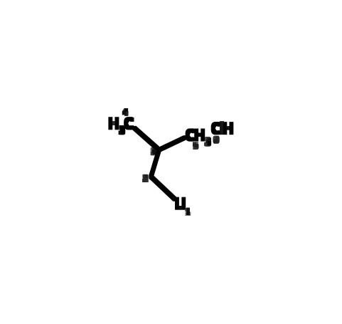 Cl.[Li][CH2]C(C)C